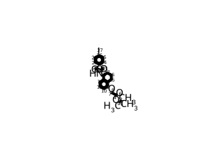 CC(C)(C)OC(=O)COc1cccc2c1CCCC2NS(=O)(=O)c1ccc(I)cc1